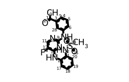 CC(=O)c1cccc(Nc2ncc(F)c(Nc3ccccc3NS(C)(=O)=O)n2)c1